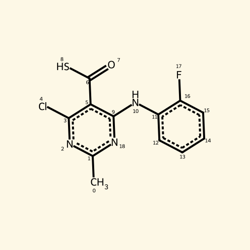 Cc1nc(Cl)c(C(=O)S)c(Nc2ccccc2F)n1